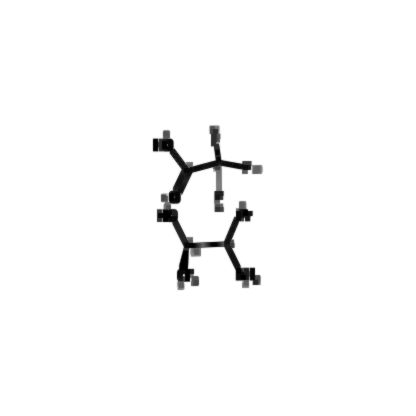 CC(C)C(N)[C@H](O)C(F)(F)F.O=C(O)C(F)(F)F